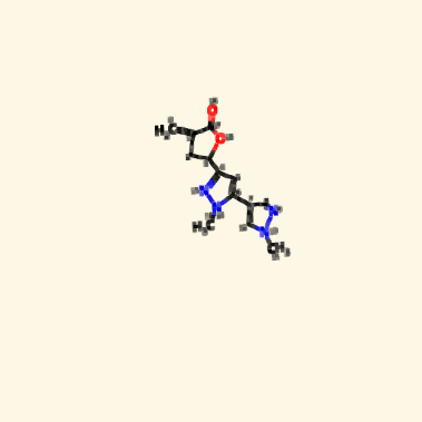 C=C1CC(c2cc(-c3cnn(C)c3)n(C)n2)OC1=O